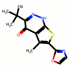 Cc1c(-c2ncco2)sc2[nH]nc(C(C)(C)C#N)c(=O)c12